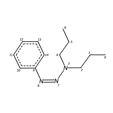 CCCN(CCC)/N=N\c1ccccc1